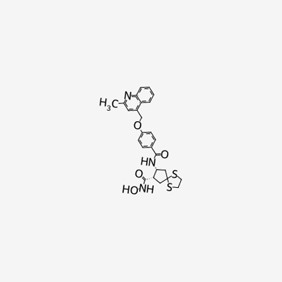 Cc1cc(COc2ccc(C(=O)N[C@@H]3CC4(C[C@@H]3C(=O)NO)SCCS4)cc2)c2ccccc2n1